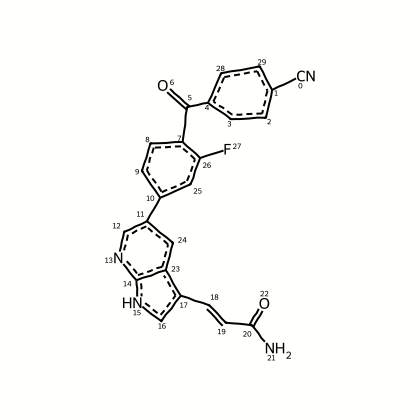 N#Cc1ccc(C(=O)c2ccc(-c3cnc4[nH]cc(C=CC(N)=O)c4c3)cc2F)cc1